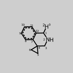 [2H]C1NCC2(CC2)c2ccccc21